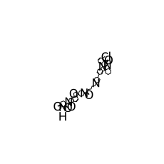 O=C1CC[C@H](N2Cc3c(ccc4c3OCC43CCN(C(=O)CCCCN4CCC(c5ccc6c(c5)C5(CCCCC5)c5nc(=O)c7c(Cl)cccc7n5-6)CC4)CC3)C2=O)C(=O)N1